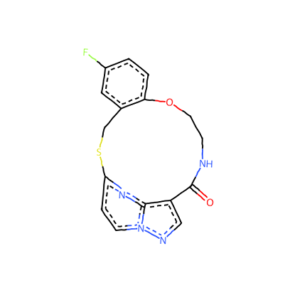 O=C1NCCOc2ccc(F)cc2CSc2ccn3ncc1c3n2